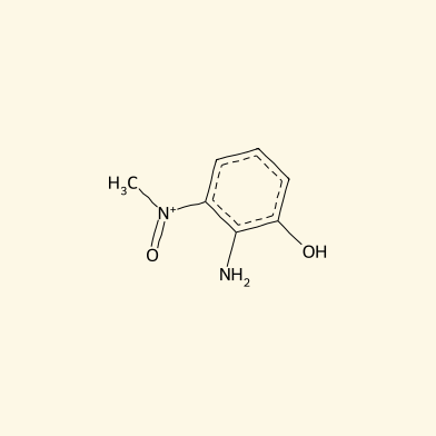 C[N+](=O)c1cccc(O)c1N